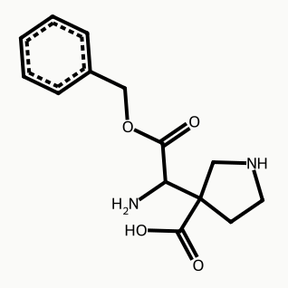 NC(C(=O)OCc1ccccc1)C1(C(=O)O)CCNC1